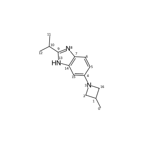 CC1CN(c2ccc3nc(C(C)C)[nH]c3c2)C1